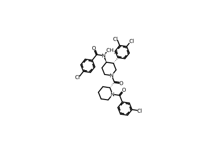 CN(C(=O)c1ccc(Cl)cc1)[C@@H]1CCN(C(=O)[C@H]2CCCCN2C(=O)c2cccc(Cl)c2)C[C@H]1c1ccc(Cl)c(Cl)c1